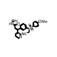 COc1ccc(S(=O)(=O)N(CC#N)c2cccc(/C(=C\C(=O)NO)c3cccnc3)c2)cc1